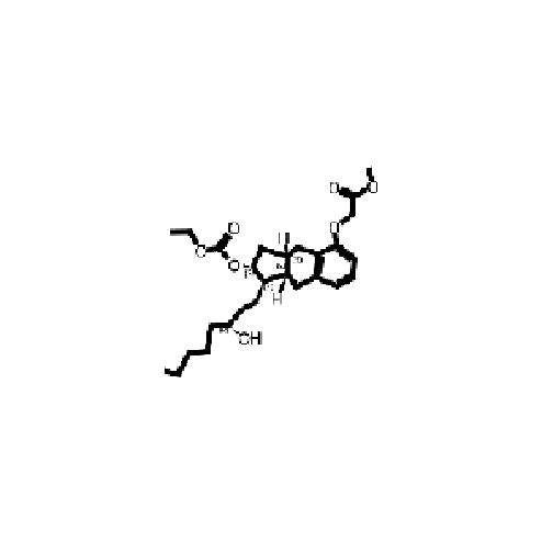 CCCCC[C@@H](O)CC[C@@H]1[C@H]2Cc3cccc(OCC(=O)OC)c3C[C@H]2C[C@H]1OC(=O)OCC